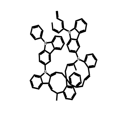 C=C/C=C(\C=C/C)n1c2ccccc2c2cc(N3/C(C)=C/CC4(C/C=c5\c(c6ccccc6n5-c5ccc6c(c5)c5ccccc5n6-c5ccccc5)=C/C(C)c5ccccc54)c4ccccc4C/C=C/c4ccccc43)ccc21